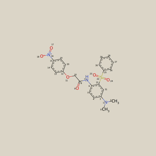 CN(C)c1ccc(NC(=O)COc2ccc([N+](=O)[O-])cc2)c(S(=O)(=O)c2ccccc2)c1